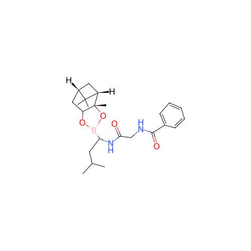 CC(C)CC(NC(=O)CNC(=O)c1ccccc1)B1OC2C[C@@H]3C[C@@H](C3(C)C)[C@]2(C)O1